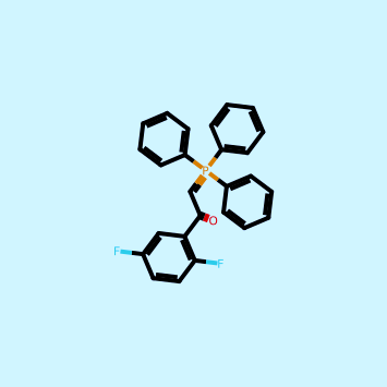 O=C(C=P(c1ccccc1)(c1ccccc1)c1ccccc1)c1cc(F)ccc1F